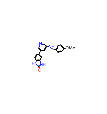 COc1ccc(CNc2cncc(-c3ccc4[nH]c(=O)[nH]c4c3)c2)cc1